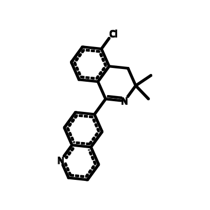 CC1(C)Cc2c(Cl)cccc2C(c2ccc3ncccc3c2)=N1